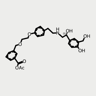 CC(=O)OC(=O)c1cccc(COCCOc2ccc(CCNC[C@@H](O)c3ccc(O)c(CO)c3)cc2)c1